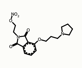 O=C1c2cccc(OCCCN3CCCC3)c2C(=O)N1CCO[N+](=O)[O-]